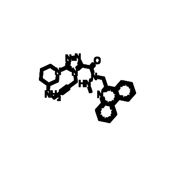 CC#CCn1c(C(=O)N(Cc2nc3ccccc3c3ccccc23)NC)nnc1N1CCCC(N)C1